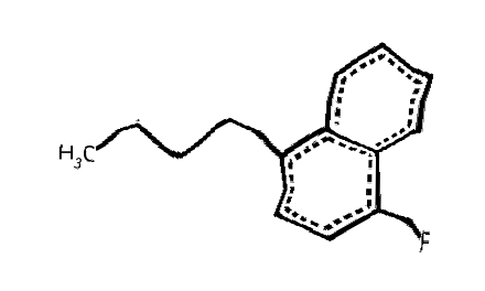 C[CH]CCc1ccc(F)c2ccccc12